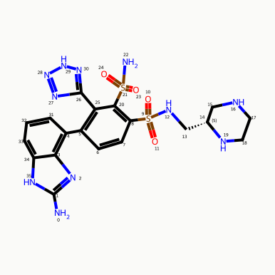 Nc1nc2c(-c3ccc(S(=O)(=O)NC[C@@H]4CNCCN4)c(S(N)(=O)=O)c3-c3nn[nH]n3)cccc2[nH]1